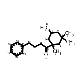 CC1CC(C)(C)CC(C)(C(=O)CCCc2ccccc2)C1